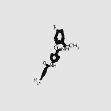 CC#CC(=O)Nc1ccc(C(=O)N[C@@H](C)c2ccc(F)cc2)cc1